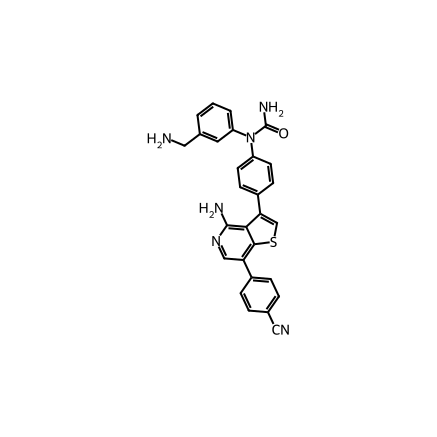 N#Cc1ccc(-c2cnc(N)c3c(-c4ccc(N(C(N)=O)c5cccc(CN)c5)cc4)csc23)cc1